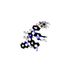 CCn1c(C#N)cc(N(C(=O)c2cc(-c3cc4c(cc3C(=O)N3Cc5ccccc5C[C@H]3C)CNCC4)n(C)c2C)c2ccc(O[Si](C)(C)C(C)(C)C)cc2)c1C